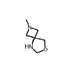 CN1CC2(COCN2)C1